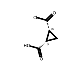 O=C(O)[C@H]1C[C@H]1C(=O)Cl